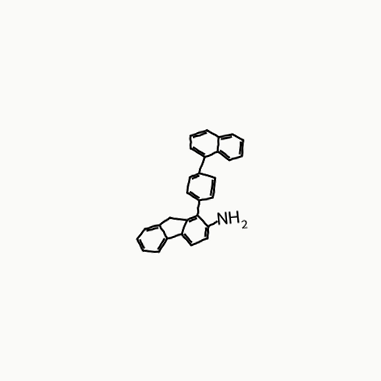 Nc1ccc2c(c1-c1ccc(-c3cccc4ccccc34)cc1)Cc1ccccc1-2